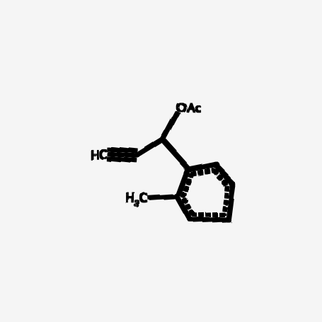 C#CC(OC(C)=O)c1ccccc1C